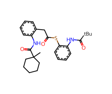 CC(C)(C)C(=O)Nc1ccccc1SC(=O)Cc1ccccc1NC(=O)C1(C)CCCCC1